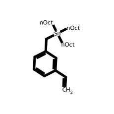 C=Cc1cccc([CH2][Sn]([CH2]CCCCCCC)([CH2]CCCCCCC)[CH2]CCCCCCC)c1